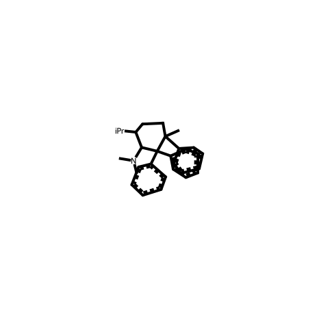 CC(C)C1CCC(C)(c2ccccc2)C(c2ccccc2)(c2ccccc2)C1N(C)C